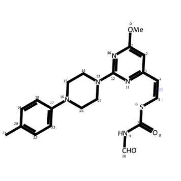 COc1cc(/C=C\SC(=O)NC=O)nc(N2CCN(c3ccc(C)cc3)CC2)n1